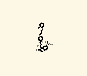 COc1ccc2ncc(Cl)c([C@H](F)CCC3(C(=O)O)CCN(CCCSc4ccccc4Cl)CC3)c2c1